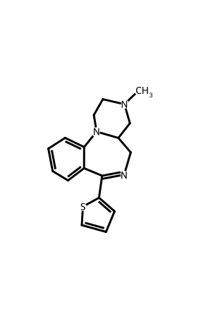 CN1CCN2c3ccccc3C(c3cccs3)=NCC2C1